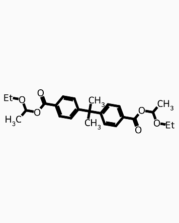 CCOC(C)OC(=O)c1ccc(C(C)(C)c2ccc(C(=O)OC(C)OCC)cc2)cc1